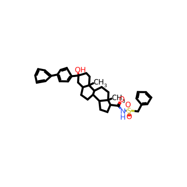 CC12CCC(O)(c3ccc(-c4ccccc4)cc3)CC1CCC1C2CCC2(C)C(C(=O)NS(=O)(=O)Cc3ccccc3)CCC12